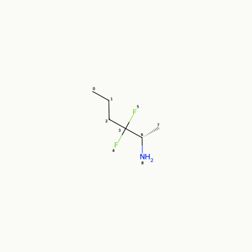 CCCC(F)(F)[C@H](C)N